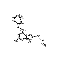 OCCOc1nc2c(NCc3ccncn3)nc(Cl)nc2[nH]1